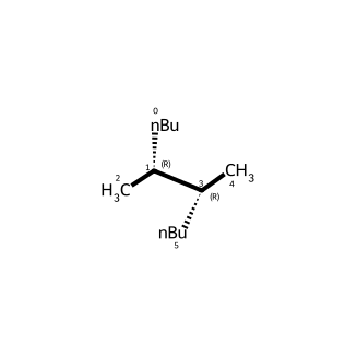 CCCC[C@@H](C)[C@H](C)CCCC